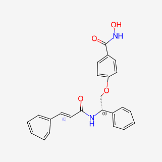 O=C(/C=C/c1ccccc1)N[C@H](COc1ccc(C(=O)NO)cc1)c1ccccc1